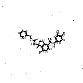 CC1(NC(=O)OCc2ccccn2)CCc2c(C(=O)Nc3ccc(F)c(Cl)c3)ccc(F)c21